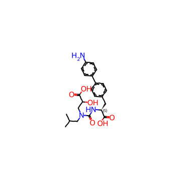 CC(C)CN(CC(O)C(=O)O)C(=O)N[C@@H](Cc1ccc(-c2ccc(N)cc2)cc1)C(=O)O